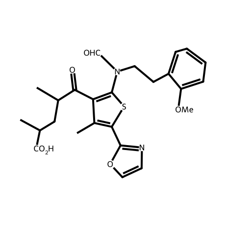 COc1ccccc1CCN(C=O)c1sc(-c2ncco2)c(C)c1C(=O)C(C)CC(C)C(=O)O